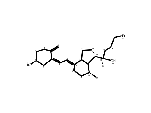 C=C1CC[C@H](O)C/C1=C/C=C1\CC[C@H](C)C2C1CC[C@@H]2[C@](C)(O)CCCC(C)C